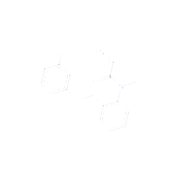 CN(C(=O)C=N)c1ccccc1COc1ccc(F)c(Cl)c1